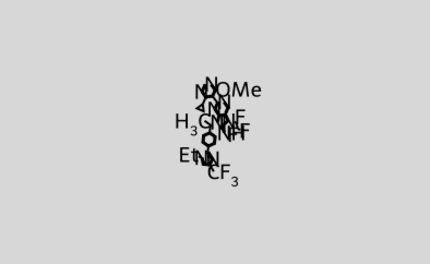 CCn1cc(C(F)(F)F)nc1-c1ccc(C(C)n2c(=N)n(C(F)C(F)F)c3cnc(-c4c(OC)ncnc4C4CC4)nc32)cc1